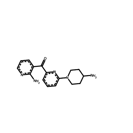 Nc1ncccc1C(=O)c1cccc(N2CCC(N)CC2)n1